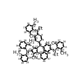 CCN(c1ccc(C(=C2C=CC(=[N+](CC)c3c(C)cccc3C)C=C2)c2sc(N(c3ccccc3C)c3ccccc3C)c(C#N)c2-c2ccccc2)cc1)c1c(C)cccc1C